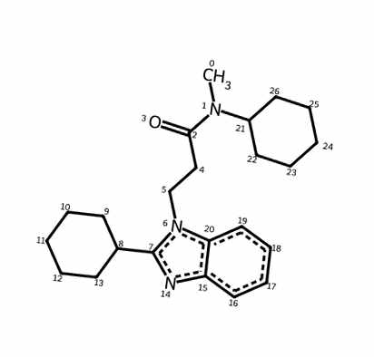 CN(C(=O)CCn1c(C2CCCCC2)nc2ccccc21)C1CCCCC1